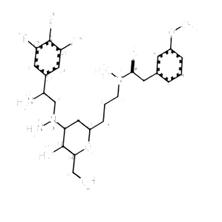 COc1cccc(CC(=O)N(C)CCCC2CC(N(N)CC(N)c3cc(F)c(F)c(F)c3)C(O)C(CO)O2)c1